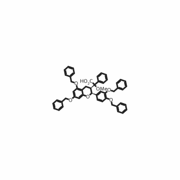 COC(C(=O)O)(c1ccccc1)[C@@H]1Cc2c(OCc3ccccc3)cc(OCc3ccccc3)cc2O[C@@H]1c1ccc(OCc2ccccc2)c(OCc2ccccc2)c1